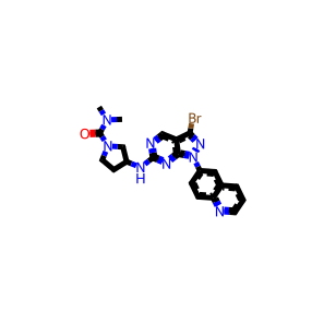 CN(C)C(=O)N1CCC(Nc2ncc3c(Br)nn(-c4ccc5ncccc5c4)c3n2)C1